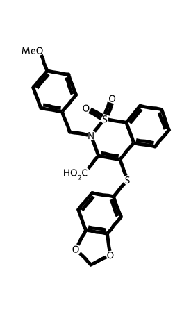 COc1ccc(CN2C(C(=O)O)=C(Sc3ccc4c(c3)OCO4)c3ccccc3S2(=O)=O)cc1